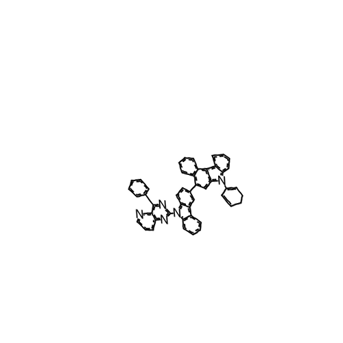 C1=CC(n2c3ccccc3c3c4ccccc4c(-c4ccc5c(c4)c4ccccc4n5-c4nc(-c5ccccc5)c5ncccc5n4)cc32)=CCC1